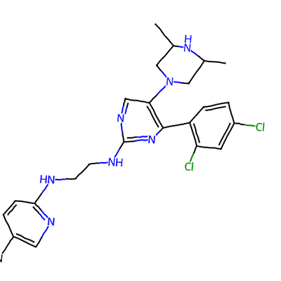 CC1CN(c2cnc(NCCNc3ccc([N+](=O)[O-])cn3)nc2-c2ccc(Cl)cc2Cl)CC(C)N1